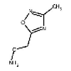 Cc1noc(CON)n1